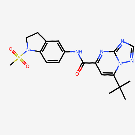 CC(C)(C)c1cc(C(=O)Nc2ccc3c(c2)CCN3S(C)(=O)=O)nc2ncnn12